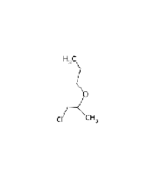 CCCOC(C)CCl